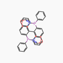 c1ccc(P(c2ccccc2)c2ccc3ocnc3c2-c2c(P(c3ccccc3)c3ccccc3)ccc3ocnc23)cc1